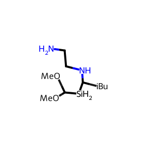 CCC(C)C(NCCN)[SiH2]C(OC)OC